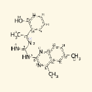 C/C(=N\C(=N)Nc1nc(C)c2cc(C)ccc2n1)c1ccccc1O